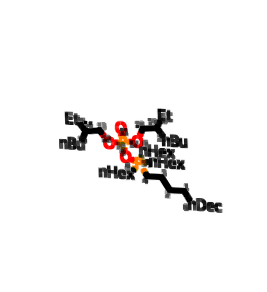 CCCCCCCCCCCCCCP(CCCCCC)(CCCCCC)(CCCCCC)OP(=O)(OCC(CC)CCCC)OCC(CC)CCCC